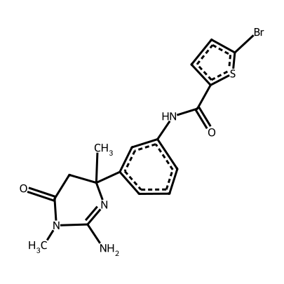 CN1C(=O)CC(C)(c2cccc(NC(=O)c3ccc(Br)s3)c2)N=C1N